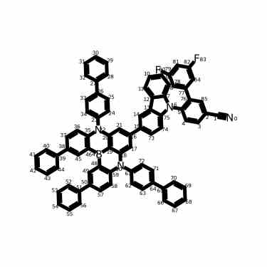 N#Cc1ccc(-n2c3ccccc3c3cc(-c4cc5c6c(c4)N(c4ccc(-c7ccccc7)cc4)c4ccc(-c7ccccc7)cc4B6c4cc(-c6ccccc6)ccc4N5c4ccc(-c5ccccc5)cc4)ccc32)c(-c2cc(F)cc(F)c2)c1